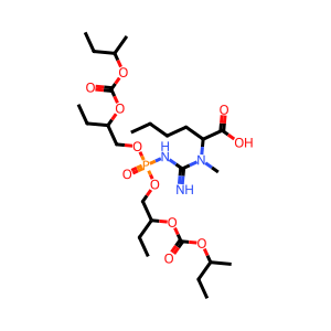 CCCCC(C(=O)O)N(C)C(=N)NP(=O)(OCC(CC)OC(=O)OC(C)CC)OCC(CC)OC(=O)OC(C)CC